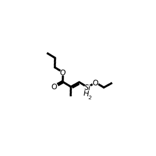 CCCOC(=O)C(C)=C[SiH2]OCC